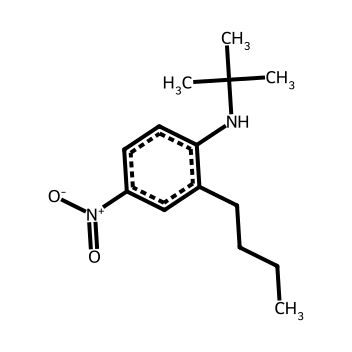 CCCCc1cc([N+](=O)[O-])ccc1NC(C)(C)C